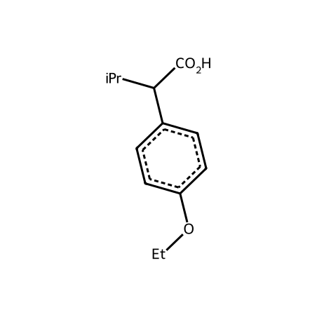 CCOc1ccc(C(C(=O)O)C(C)C)cc1